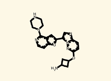 NC1CC(Oc2ccc3ncc(-c4cc5c(N6CCNCC6)nccc5o4)n3n2)C1